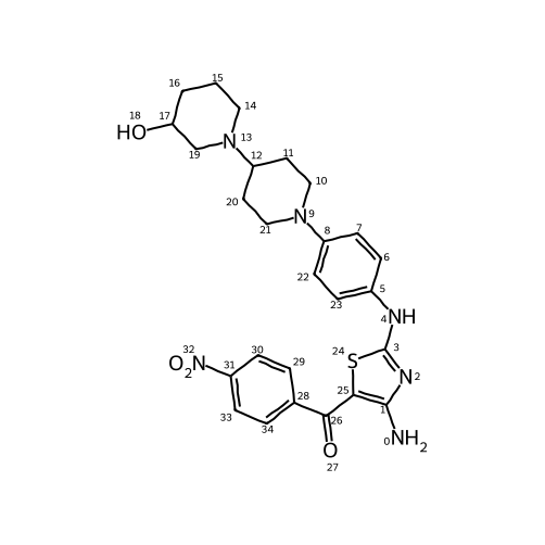 Nc1nc(Nc2ccc(N3CCC(N4CCCC(O)C4)CC3)cc2)sc1C(=O)c1ccc([N+](=O)[O-])cc1